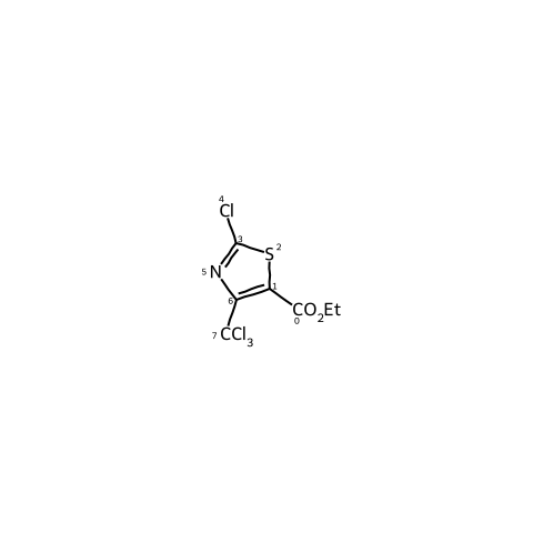 CCOC(=O)c1sc(Cl)nc1C(Cl)(Cl)Cl